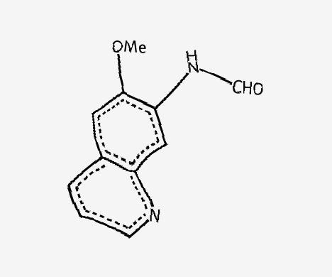 COc1cc2cccnc2cc1NC=O